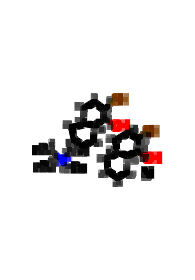 CCCC[N+](CCCC)(CCCC)CCCC.Oc1c(S)ccc2ccccc12.Oc1c(S)ccc2ccccc12.[Ni]